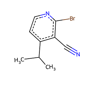 CC(C)c1ccnc(Br)c1C#N